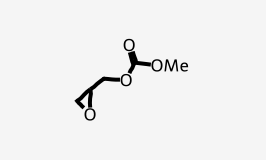 COC(=O)OCC1CO1